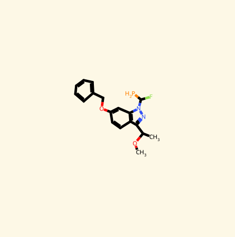 COC(C)c1nn(C(F)P)c2cc(OCc3ccccc3)ccc12